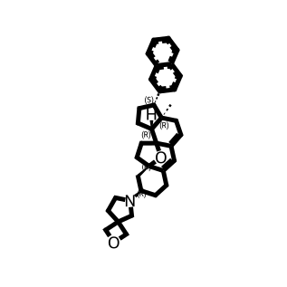 C[C@]12CC=C3C=C4CC[C@@H](N5CCC6(COC6)C5)C[C@]45CCC3(O5)[C@@H]1CC[C@@H]2c1ccc2ccccc2c1